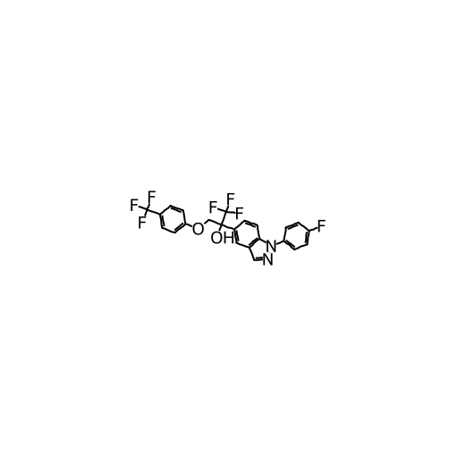 OC(COc1ccc(C(F)(F)F)cc1)(c1ccc2c(cnn2-c2ccc(F)cc2)c1)C(F)(F)F